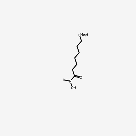 CCCCCCCCCCCCCC(=O)N(O)I